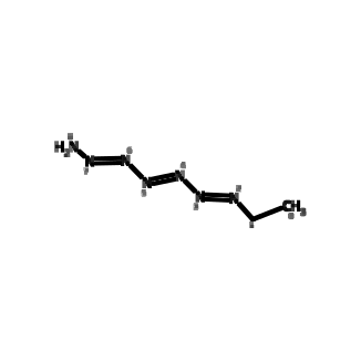 CCN=NN=NN=NN